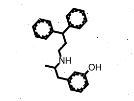 CC(Cc1cccc(O)c1)NCCC(c1ccccc1)c1ccccc1